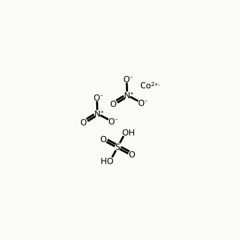 O=S(=O)(O)O.O=[N+]([O-])[O-].O=[N+]([O-])[O-].[Co+2]